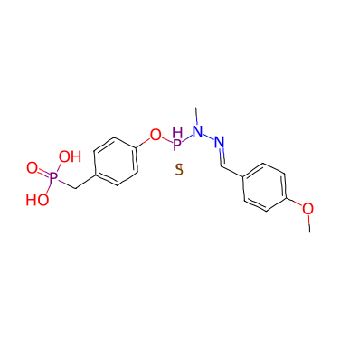 COc1ccc(/C=N/N(C)[PH](=S)Oc2ccc(CP(=O)(O)O)cc2)cc1